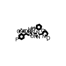 COC1=NC(c2nnc(NS(=O)(=O)C[C@@H](O)c3ccc(F)cc3S(C)(=O)=O)n2-c2c(O)cccc2OC)=C=C=C1